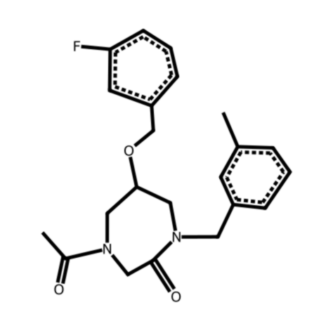 CC(=O)N1CC(=O)N(Cc2cccc(C)c2)CC(OCc2cccc(F)c2)C1